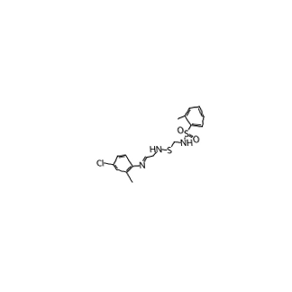 Cc1cc(Cl)ccc1N=CCNSCNS(=O)(=O)c1ccccc1C